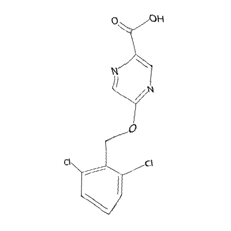 O=C(O)c1cnc(OCc2c(Cl)cccc2Cl)cn1